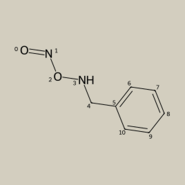 O=NONCc1ccccc1